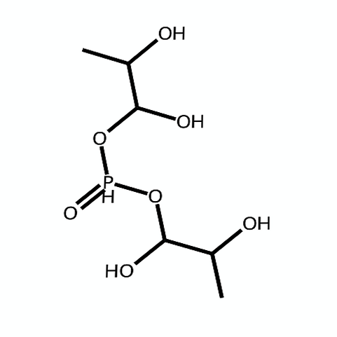 CC(O)C(O)O[PH](=O)OC(O)C(C)O